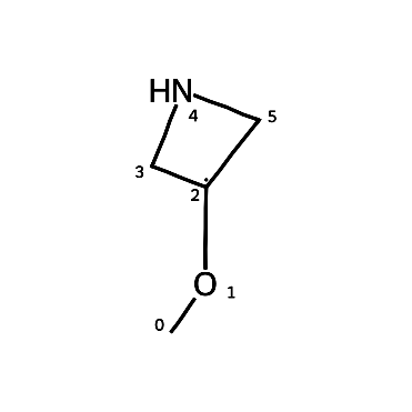 CO[C]1CNC1